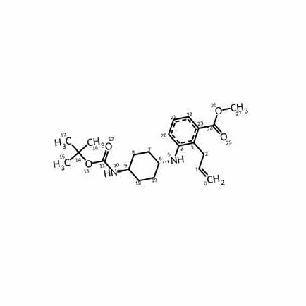 C=CCc1c(N[C@H]2CC[C@H](NC(=O)OC(C)(C)C)CC2)cccc1C(=O)OC